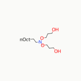 CCCCCCCCCCN(OCCCO)OCCCO